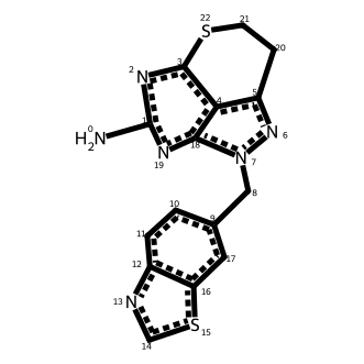 Nc1nc2c3c(nn(Cc4ccc5ncsc5c4)c3n1)CCS2